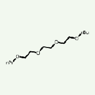 CCCCOCCOCCOCCOCCC